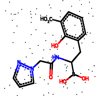 O=C(Cn1cccn1)NC(Cc1cccc(C(=O)O)c1O)B(O)O